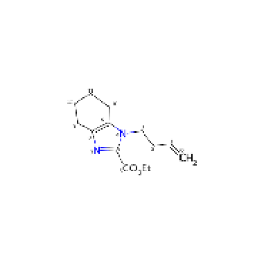 C=CCCn1c(C(=O)OCC)nc2c1CCCC2